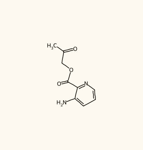 CC(=O)COC(=O)c1ncccc1N